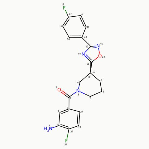 Nc1cc(C(=O)N2CCC[C@H](c3nc(-c4ccc(F)cc4)no3)C2)ccc1F